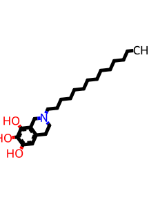 CCCCCCCCCCCCCCN1CCc2cc(O)c(O)c(O)c2C1